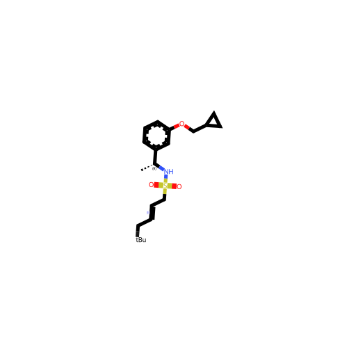 C[C@@H](NS(=O)(=O)C/C=C/CC(C)(C)C)c1cccc(OCC2CC2)c1